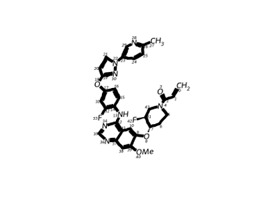 C=CC(=O)N1CC[C@H](Oc2cc3c(Nc4ccc(Oc5ccn(-c6ccc(C)nc6)n5)cc4F)ncnc3cc2OC)[C@@H](F)C1